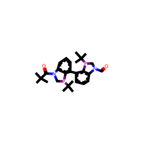 CC(C)(C)C(=O)N1CP(C(C)(C)C)c2c(-c3cccc4c3P(C(C)(C)C)CN4C=O)cccc21